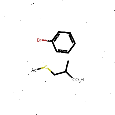 Brc1ccccc1.CC(=O)SCC(C)C(=O)O